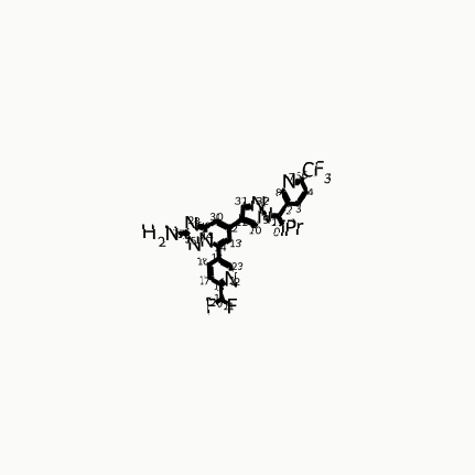 CC(C)C(c1ccc(C(F)(F)F)nc1)n1cc(-c2cc(-c3ccc(C(F)F)nc3)n3nc(N)nc3c2)cn1